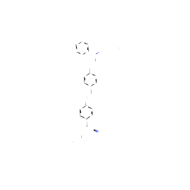 CO/N=C(\COc1ccc(COc2ccc(C(C#N)CC(O)O)cc2)cc1)c1ccc(F)cc1